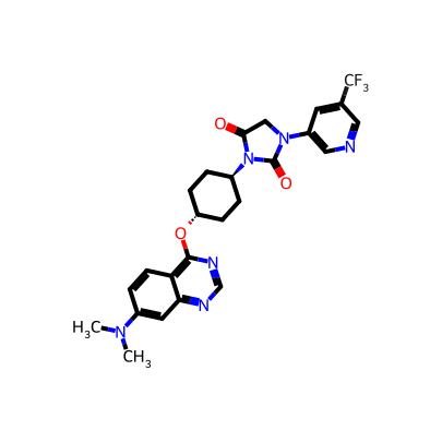 CN(C)c1ccc2c(O[C@H]3CC[C@H](N4C(=O)CN(c5cncc(C(F)(F)F)c5)C4=O)CC3)ncnc2c1